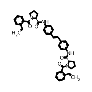 C=Cc1ccccc1C(=O)N1CCC[C@H]1C(=O)Nc1ccc(/C=C/c2ccc(NC(=O)[C@@H]3CCCN3C(=O)c3ccccc3C=C)cc2)cc1